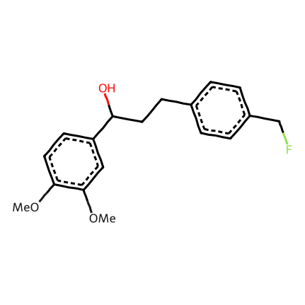 COc1ccc(C(O)CCc2ccc(CF)cc2)cc1OC